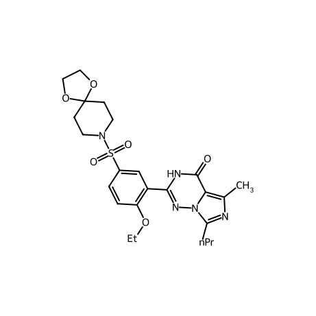 CCCc1nc(C)c2c(=O)[nH]c(-c3cc(S(=O)(=O)N4CCC5(CC4)OCCO5)ccc3OCC)nn12